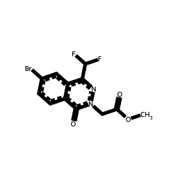 COC(=O)Cn1nc(C(F)F)c2cc(Br)ccc2c1=O